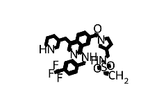 C=CS(=O)(=O)NCC1CCN(C(=O)c2ccc3c(CC4CCCNC4)cnc(NCc4ccc(C(F)(F)F)cc4)c3c2)C1